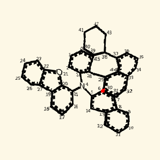 c1ccc(N(c2ccc3ccccc3c2)c2cccc3c2oc2ccccc23)c(-c2cccc3cccc(C4CCCCC4)c23)c1